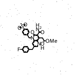 COC(O)Cc1c(C(N)=O)c(=O)n(Cc2ccc(S(C)(=O)=O)cc2)c2cc(Cc3ccc(F)cc3)cnc12